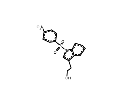 O=[N+]([O-])c1ccc(S(=O)(=O)n2cc(CCO)c3ccccc32)cc1